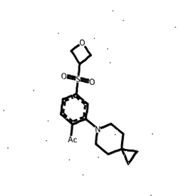 CC(=O)c1ccc(S(=O)(=O)C2COC2)cc1N1CCC2(CC1)CC2